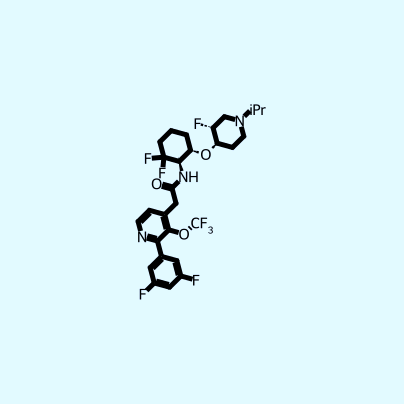 CC(C)N1CC[C@H](O[C@H]2CCCC(F)(F)[C@@H]2NC(=O)Cc2ccnc(-c3cc(F)cc(F)c3)c2OC(F)(F)F)[C@H](F)C1